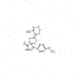 COc1ccc(N2CNC(=O)C23CCN([C@@H]2CCCC[C@H]2O)CC3)cc1